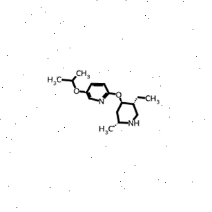 CC[C@@H]1CN[C@H](C)C[C@H]1Oc1ccc(OC(C)C)cn1